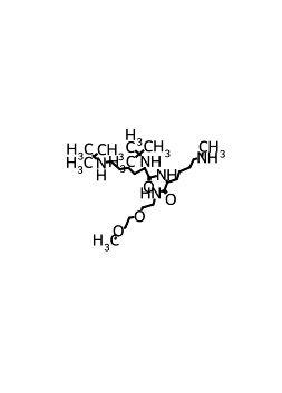 CNCCCCC(NC(=O)C(CCCCNC(C)(C)C)NC(C)(C)C)C(=O)NCCOCCOC